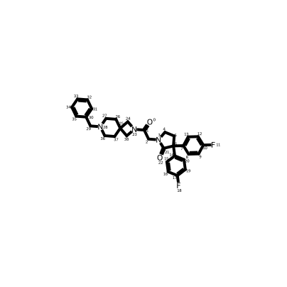 O=C(CN1CCC(c2ccc(F)cc2)(c2ccc(F)cc2)C1=O)N1CC2(CCN(Cc3ccccc3)CC2)C1